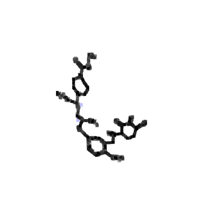 C=N/C(=C\C=C(/C)Oc1ccc(C(=O)O)c(CNC2CCC(=O)NC2=O)c1)N1CCN(C(=O)OC(C)(C)C)CC1